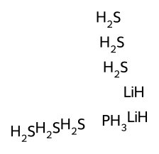 P.S.S.S.S.S.S.[LiH].[LiH]